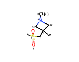 CC1(CS(C)(=O)=O)CN(C=O)C1